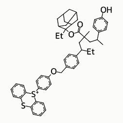 CCC(CC(C)(CC(C)c1ccc(O)cc1)C(=O)OC1(CC)C2CC3CC(C2)CC1C3)c1ccc(COc2ccc([S+]3c4ccccc4Sc4ccccc43)cc2)cc1